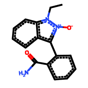 CCn1c2ccccc2c(-c2ccccc2C(N)=O)[n+]1[O-]